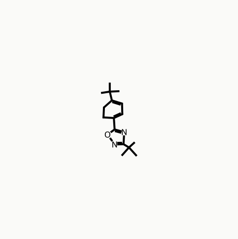 CC(C)(C)C1=CC=C(c2nc(C(C)(C)C)no2)CC1